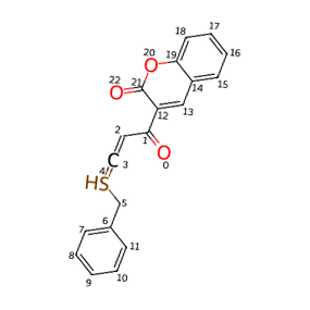 O=C(C=C=[SH]Cc1ccccc1)c1cc2ccccc2oc1=O